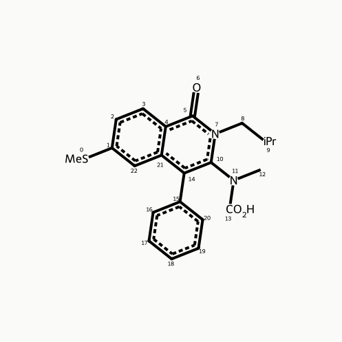 CSc1ccc2c(=O)n(CC(C)C)c(N(C)C(=O)O)c(-c3ccccc3)c2c1